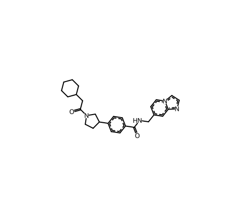 O=C(NCc1ccn2ccnc2c1)c1ccc(C2CCN(C(=O)CC3CCCCC3)C2)cc1